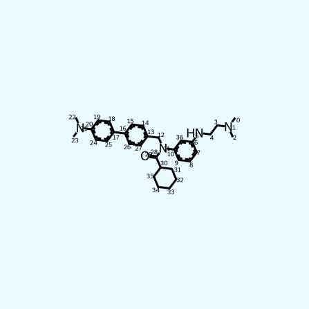 CN(C)CCNc1cccc(N(Cc2ccc(-c3ccc(N(C)C)cc3)cc2)C(=O)C2CCCCC2)c1